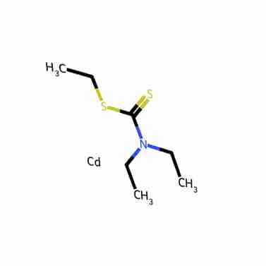 CCSC(=S)N(CC)CC.[Cd]